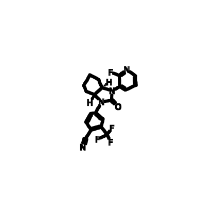 N#Cc1ccc(N2C(=O)N(c3cccnc3F)[C@@H]3CCCC[C@H]32)cc1C(F)(F)F